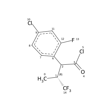 C[C@H](C(C(=O)Cl)c1ccc(Cl)cc1F)C(F)(F)F